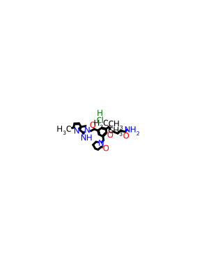 Cc1ccc2c(n1)C(=N)N(CC(=O)c1cc(CN3CCCCC3=O)c(OCCCC(N)=O)c(C(C)(C)C)c1)C2.Cl